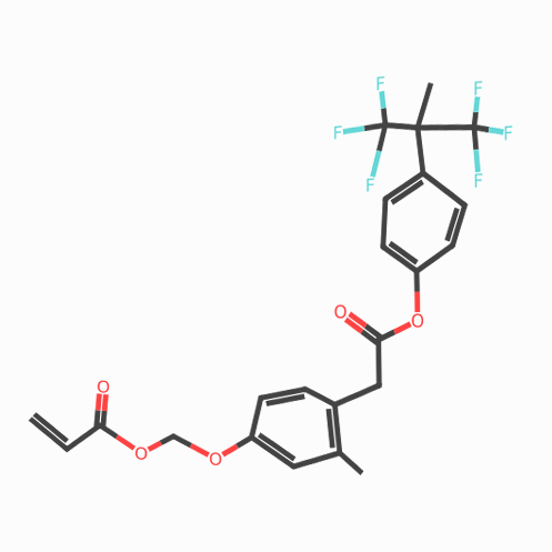 C=CC(=O)OCOc1ccc(CC(=O)Oc2ccc(C(C)(C(F)(F)F)C(F)(F)F)cc2)c(C)c1